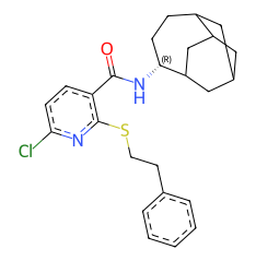 O=C(N[C@@H]1CCC2CC3CC2CC1C3)c1ccc(Cl)nc1SCCc1ccccc1